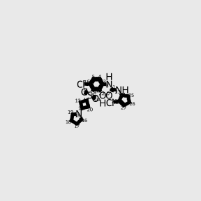 O=C(Nc1ccc(Cl)c(S(=O)(=O)[C@H]2C[C@H](N3CCCC3)C2)c1O)NC1CCC=C1Cl